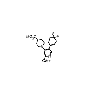 CCOC(=O)C1CCN(c2cc(OC)ncc2C2=CCC(F)(F)CC2)CC1